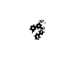 O=C(c1cc(OC(F)(F)F)cc(-c2cccc(F)c2)c1)N1CCC(c2cccnc2)C1